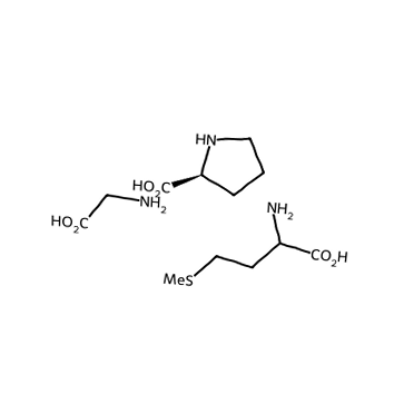 CSCCC(N)C(=O)O.NCC(=O)O.O=C(O)[C@@H]1CCCN1